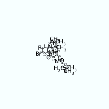 C[C@@H]1CN(c2cc(F)c(Br)cc2NC(=O)c2cnc(OCC[Si](C)(C)C)cc2C(F)F)C[C@H](C)N1C